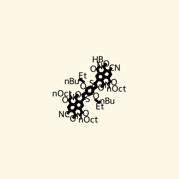 B=CN1C(=O)c2cc(-c3cc4c(OCC(CC)CCCC)c5sc(-c6cc7c8c(c(C#N)cc9c8c6C(=O)N(CCCCCCCC)C9=O)C(=O)N(CCCCCCCC)C7=O)cc5c(OCC(CC)CCCC)c4s3)c3c4c(cc(C#N)c(c24)C1=O)C(=O)N(CCCCCCCC)C3=O